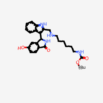 CC(C)(C)OC(=O)NCCCCCCNCc1[nH]c2ccccc2c1C1NC(=O)c2ccc(O)cc21